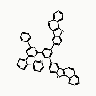 c1ccc(-c2cc(-c3ccccc3-c3cccnc3)nc(-c3cc(-c4ccc5oc6c7ccccc7ccc6c5c4)cc(-c4ccc5oc6c7ccccc7ccc6c5c4)c3)n2)cc1